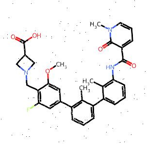 COc1cc(-c2cccc(-c3cccc(NC(=O)c4cccn(C)c4=O)c3C)c2C)cc(F)c1CN1CC(C(=O)O)C1